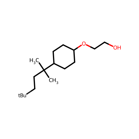 CC(C)(C)CCC(C)(C)C1CCC(OCCO)CC1